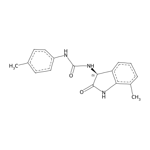 Cc1ccc(NC(=O)N[C@@H]2C(=O)Nc3c(C)cccc32)cc1